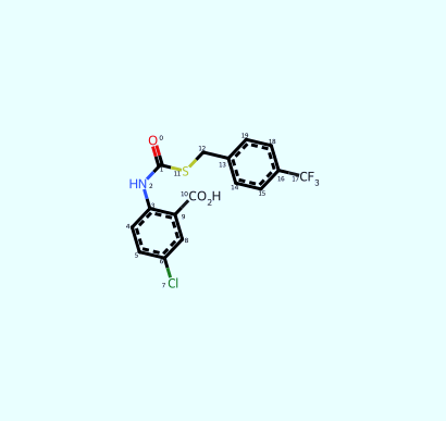 O=C(Nc1ccc(Cl)cc1C(=O)O)SCc1ccc(C(F)(F)F)cc1